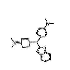 CN(C)c1ccc(C(=C2C=CC(=[N+](C)C)C=C2)c2cc3ccccc3s2)cc1